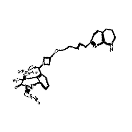 CN1C(=O)C(C)(C)c2c(C(C(=O)O)N3CC(OCCCCCc4ccc5c(n4)NCCC5)C3)cccc21